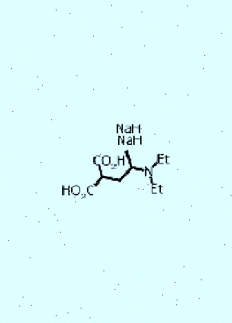 CCN(CC)C(C)CC(C(=O)O)C(=O)O.[NaH].[NaH]